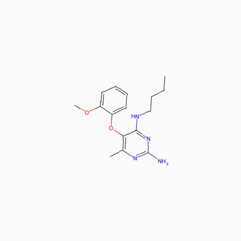 CCCCNc1nc(N)nc(C)c1Oc1ccccc1OC